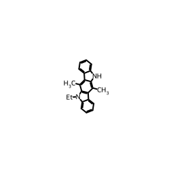 CCn1c2ccccc2c2c(C)c3[nH]c4ccccc4c3c(C)c21